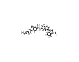 CN1CCN(c2ccc(NCc3ccc(/C=C\C(=O)Nc4ccccc4N)cc3)cc2F)CC1